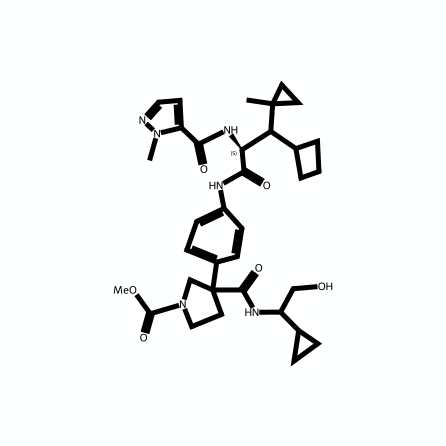 COC(=O)N1CCC(C(=O)NC(CO)C2CC2)(c2ccc(NC(=O)[C@@H](NC(=O)c3ccnn3C)C(C3CCC3)C3(C)CC3)cc2)C1